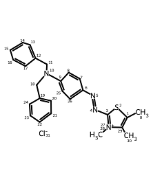 Cc1sc(/N=N/c2ccc(N(Cc3ccccc3)Cc3ccccc3)cc2)[n+](C)c1C.[Cl-]